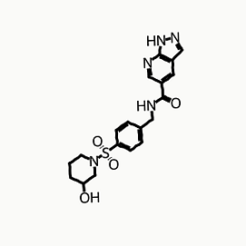 O=C(NCc1ccc(S(=O)(=O)N2CCCC(O)C2)cc1)c1cnc2[nH]ncc2c1